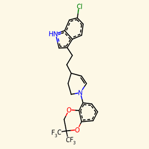 FC(F)(F)C1(C(F)(F)F)COc2c(cccc2N2C=CC(CCc3c[nH]c4cc(Cl)ccc34)CC2)O1